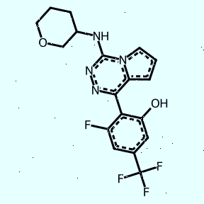 Oc1cc(C(F)(F)F)cc(F)c1-c1nnc(NC2CCCOC2)n2cccc12